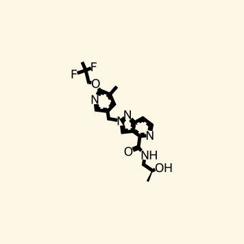 Cc1cc(Cn2cc3c(C(=O)NC[C@H](C)O)nccc3n2)cnc1OCC(C)(F)F